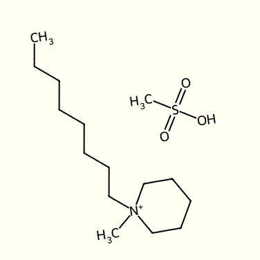 CCCCCCCC[N+]1(C)CCCCC1.CS(=O)(=O)O